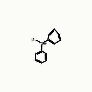 C[C](C)(C)[GeH]([c]1ccccc1)[c]1ccccc1